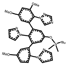 COc1ccc(-n2cccn2)c(-c2cc(O[Si](C)(C)C(C)(C)C)cc(-c3cc(OC)cc(OC)c3-n3cncn3)c2-n2cccn2)c1